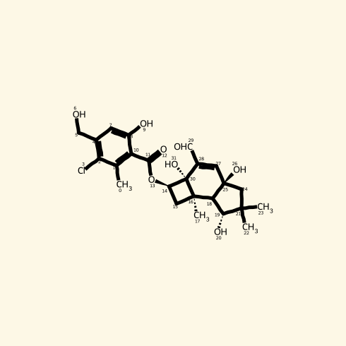 Cc1c(Cl)c(CO)cc(O)c1C(=O)O[C@@H]1C[C@]2(C)C3[C@@H](O)C(C)(C)C[C@@]3(O)C=C(C=O)[C@]12O